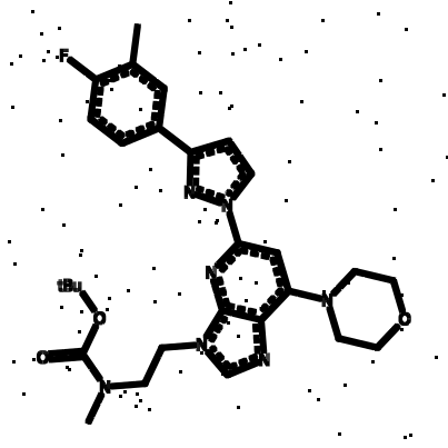 Cc1cc(-c2ccn(-c3cc(N4CCOCC4)c4ncn(CCN(C)C(=O)OC(C)(C)C)c4n3)n2)ccc1F